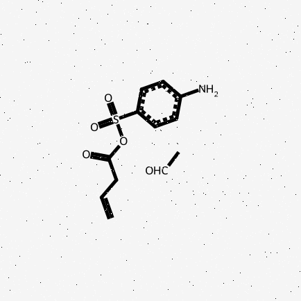 C=CCC(=O)OS(=O)(=O)c1ccc(N)cc1.CC=O